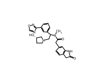 CN(C(=O)Cc1ccc2c(c1)NC(=O)C2)C(CN1CC[C@H](O)C1)c1cccc(-c2ncon2)c1